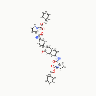 O=C1Cc2cc(NC(=O)[C@@H]3CCCN3C(=O)OCc3ccccc3)ccc2CC1c1ccc(NC(=O)[C@@H]2CCCN2C(=O)OCc2ccccc2)cc1